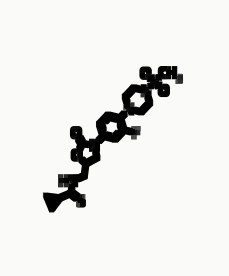 CS(=O)(=O)N1CCN(c2ccc(N3CC(CNC(=S)C4CC4)OC3=O)cc2F)CC1